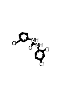 O=C(Nc1cccc(Cl)c1)Nc1ccc(Cl)cc1Cl